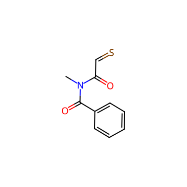 CN(C(=O)C=S)C(=O)c1ccccc1